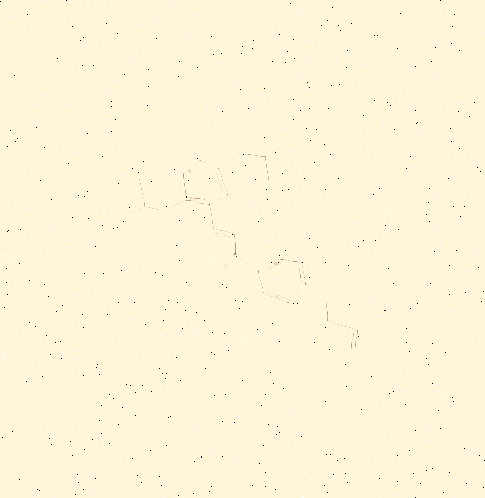 C=CCOc1ccc(C(=O)C=Cc2cc(OC(C)C)ccc2OC(C)C)cc1